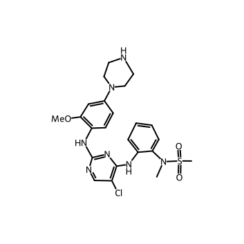 COc1cc(N2CCNCC2)ccc1Nc1ncc(Cl)c(Nc2ccccc2N(C)S(C)(=O)=O)n1